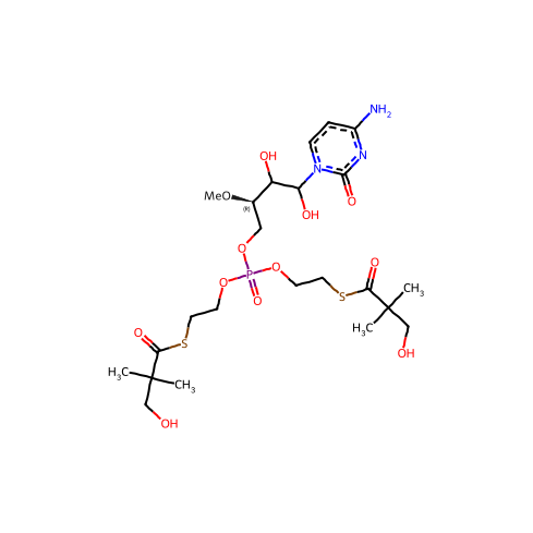 CO[C@H](COP(=O)(OCCSC(=O)C(C)(C)CO)OCCSC(=O)C(C)(C)CO)C(O)C(O)n1ccc(N)nc1=O